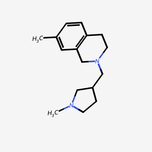 Cc1ccc2c(c1)CN(CC1CCN(C)C1)CC2